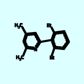 CCc1cccc(CC)c1-c1cc(C)cc(C)n1